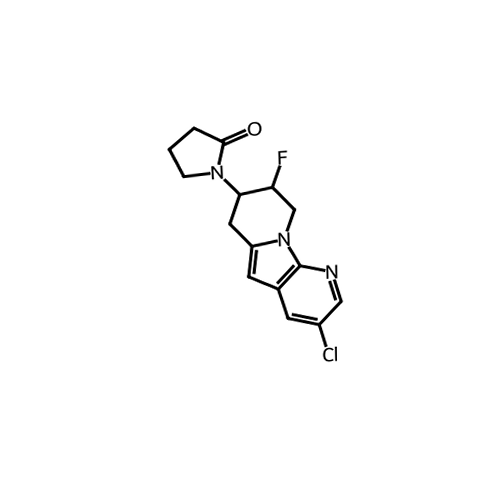 O=C1CCCN1C1Cc2cc3cc(Cl)cnc3n2CC1F